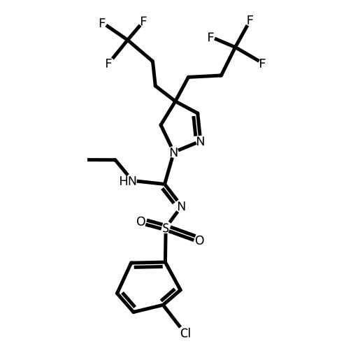 CCN/C(=N\S(=O)(=O)c1cccc(Cl)c1)N1CC(CCC(F)(F)F)(CCC(F)(F)F)C=N1